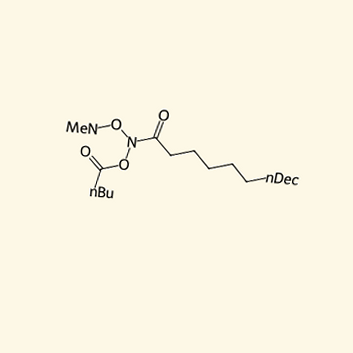 CCCCCCCCCCCCCCCC(=O)N(ONC)OC(=O)CCCC